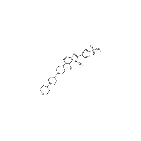 Cn1c(-c2ccc(S(C)(=O)=O)cc2)nc2ccc(C3CCN(C4CCN(C5CCOCC5)CC4)CC3)c(F)c21